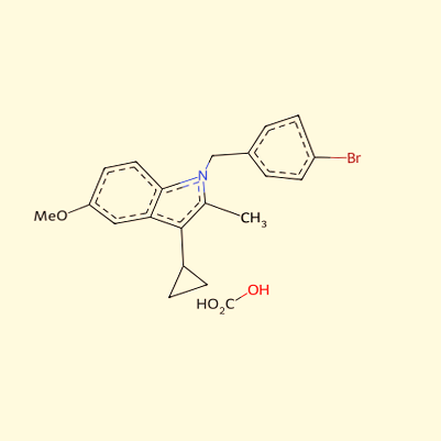 COc1ccc2c(c1)c(C1CC1)c(C)n2Cc1ccc(Br)cc1.O=C(O)O